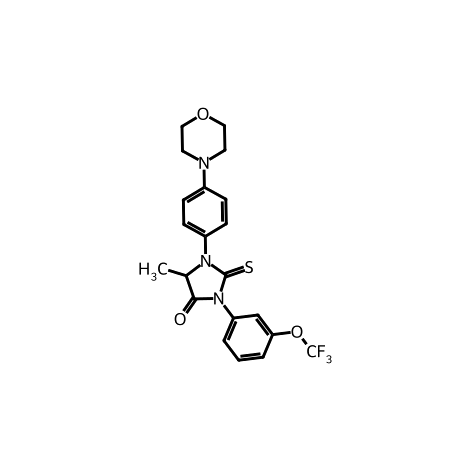 CC1C(=O)N(c2cccc(OC(F)(F)F)c2)C(=S)N1c1ccc(N2CCOCC2)cc1